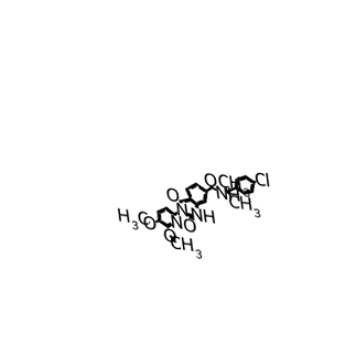 COc1ccc(-n2c(=O)[nH]c3cc(C(=O)NC(C)(C)c4ccc(Cl)cc4)ccc3c2=O)nc1OC